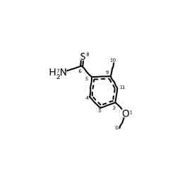 COc1ccc(C(N)=S)c(C)c1